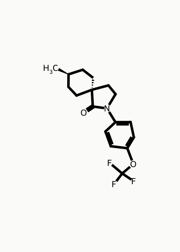 C[C@H]1CC[C@@]2(CCN(c3ccc(OC(F)(F)F)cc3)C2=O)CC1